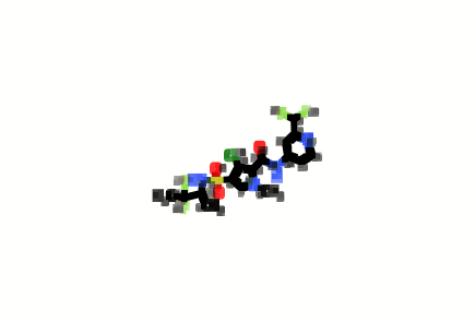 C=C(NS(=O)(=O)c1cn(C)c(C(=O)Nc2ccnc(C(F)F)c2)c1Cl)C(C)(F)F